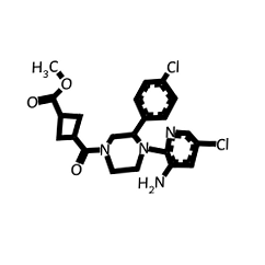 COC(=O)C1CC(C(=O)N2CCN(c3ncc(Cl)cc3N)C(c3ccc(Cl)cc3)C2)C1